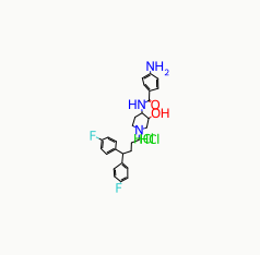 Cl.Cl.Nc1ccc(C(=O)NC2CCN(CCCC(c3ccc(F)cc3)c3ccc(F)cc3)CC2O)cc1